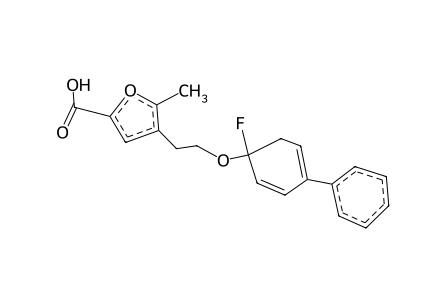 Cc1oc(C(=O)O)cc1CCOC1(F)C=CC(c2ccccc2)=CC1